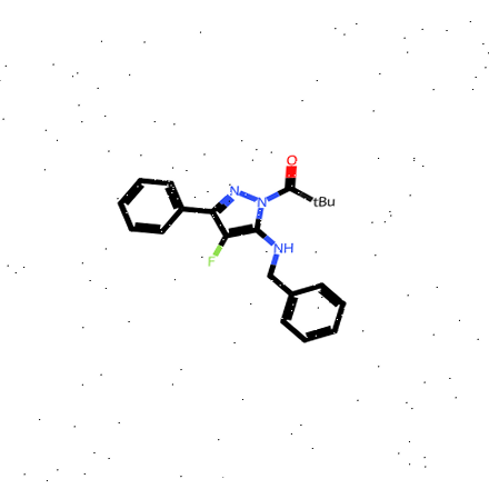 CC(C)(C)C(=O)n1nc(-c2ccccc2)c(F)c1NCc1ccccc1